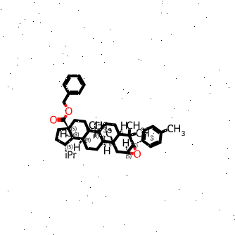 Cc1ccc([C@]23O[C@H]2C[C@]2(C)[C@H]4CC[C@@H]5[C@H]6[C@H](C(C)C)CC[C@]6(C(=O)OCc6ccccc6)CC[C@@]5(C)[C@]4(C)CC[C@H]2C3(C)C)cc1